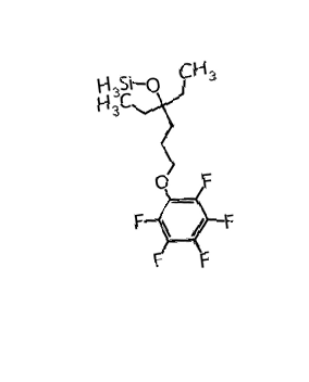 CCC(CC)(CCCOc1c(F)c(F)c(F)c(F)c1F)O[SiH3]